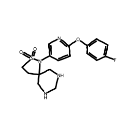 O=S1(=O)CCC2(CNCNC2)N1c1ccc(Oc2ccc(F)cc2)nc1